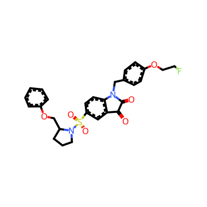 O=C1C(=O)N(Cc2ccc(OCCF)cc2)c2ccc(S(=O)(=O)N3CCCC3COc3ccccc3)cc21